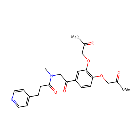 COC(=O)COc1ccc(C(=O)CN(C)C(=O)CCc2ccncc2)cc1OCC(=O)OC